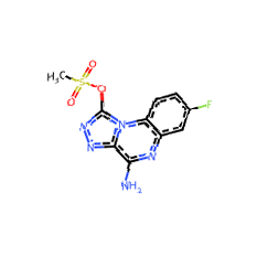 CS(=O)(=O)Oc1nnc2c(N)nc3cc(F)ccc3n12